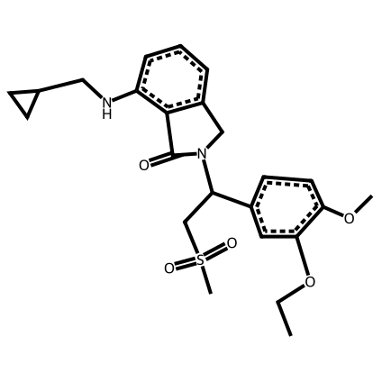 CCOc1cc(C(CS(C)(=O)=O)N2Cc3cccc(NCC4CC4)c3C2=O)ccc1OC